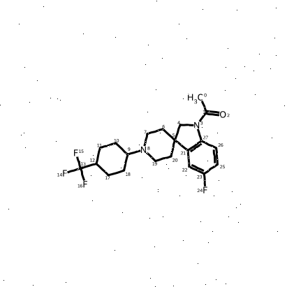 CC(=O)N1CC2(CCN(C3CCC(C(F)(F)F)CC3)CC2)c2cc(F)ccc21